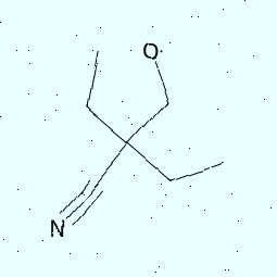 CCC(C#N)(CC)C[O]